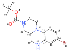 CC(C)(C)OC(=O)N1CCN2c3ccc(Br)cc3NCC2C1